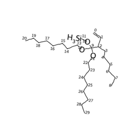 C=CC(CCCCCC)C(O[SiH3])(OCCCCCCCC)OCCCCCCCC